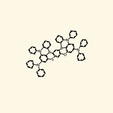 c1ccc(N(c2ccccc2)c2cc3c4c(c2)N(c2ccccc2)c2ccccc2B4c2cc4c(cc2O3)Sc2cc(N(c3ccccc3)c3ccccc3)cc3c2B4c2ccccc2N3c2ccccc2)cc1